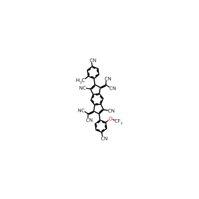 Cc1cc(C#N)ccc1C1=C(C#N)c2cc3c(cc2C1=C(C#N)C#N)C(C#N)=C(c1ccc(C#N)cc1OC(F)(F)F)C3=C(C#N)C#N